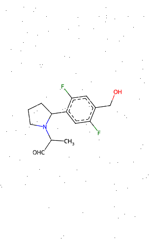 CC(C=O)N1CCCC1c1cc(F)c(CO)cc1F